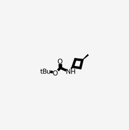 CC(C)(C)OC(=O)N[C@H]1C[C@@H](C)C1